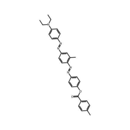 CCN(CC)c1ccc(N=Nc2ccc(N=Nc3ccc(OC(=O)c4ccc(C)cc4)cc3)c(C)c2)cc1